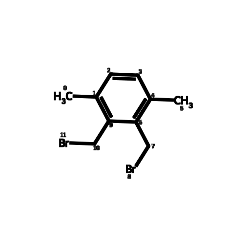 Cc1ccc(C)c(CBr)c1CBr